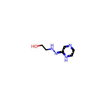 OCCNN=c1cncc[nH]1